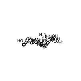 CC[C@H](C)[C@@H]([C@@H](CC(=O)N1CCC[C@H]1[C@H](OC)[C@@H](C)C(=O)N[C@@H](Cc1ccccc1)C(=O)O)OC)N(C)C(=O)[C@@H](NC(=O)[C@H](C(C)C)[N+](C)(C)Cc1ccc(O[C@@H]2O[C@H](C(=O)O)[C@@H](O)[C@H](O)[C@H]2O)c(NCCCN)c1)C(C)C